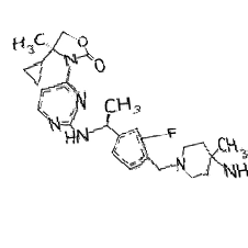 C[C@H](Nc1nccc(N2C(=O)OC[C@]2(C)C2CC2)n1)c1ccc(CN2CCC(C)(N)CC2)c(F)c1